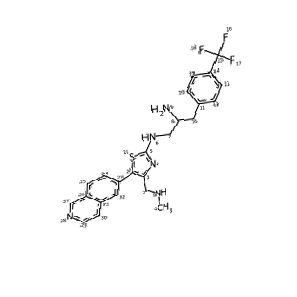 CNCc1nc(NCC(N)Cc2ccc(C(F)(F)F)cc2)sc1-c1ccc2cnccc2c1